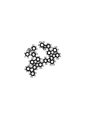 O=P(c1ccccc1)(c1ccccc1)c1ccc(-c2cccc3c2-c2ccccc2C32c3cc(-c4ccc5c(c4)-c4cccc6c7c(cc-5c46)C4(c5ccccc5-c5c(-c6cccc8c6oc6ccccc68)cccc54)c4ccccc4-7)ccc3-c3cc4c5ccccc5c5ccccc5c4cc32)cc1